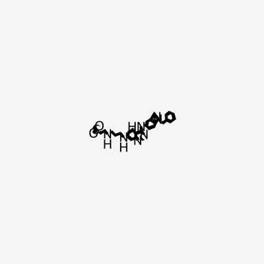 CS(=O)(=O)CCNCCCNc1ccc2c(Nc3ccc4c(cnn4Cc4ccccc4)c3)ncnc2c1